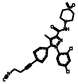 [C-]#[N+]CCC#Cc1ccc(-c2c(C)c(C(=O)NN3CCS(=C)(=O)CC3)nn2-c2ccc(Cl)cc2Cl)cc1